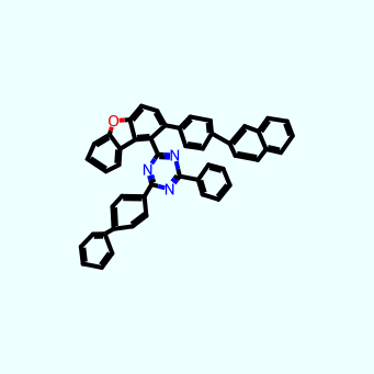 c1ccc(-c2ccc(-c3nc(-c4ccccc4)nc(-c4c(-c5ccc(-c6ccc7ccccc7c6)cc5)ccc5oc6ccccc6c45)n3)cc2)cc1